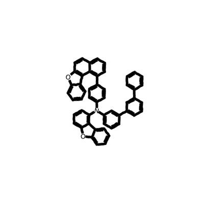 c1ccc(-c2cccc(-c3cccc(N(c4ccc(-c5cccc6ccc7oc8ccccc8c7c56)cc4)c4cccc5oc6ccccc6c45)c3)c2)cc1